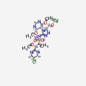 COc1ncnc(OC)c1-n1c(COC(F)F)nnc1NS(=O)(=O)C(C)C(OC)c1ncc(Cl)cn1